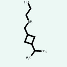 CC(C)C1CC(CNCCO)C1